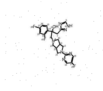 OC(Cc1nc[nH]n1)(CN1CC2CN(c3ncc(F)cn3)CC2C1)c1ccc(F)cc1F